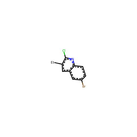 CCc1cc2cc(Br)ccc2nc1Cl